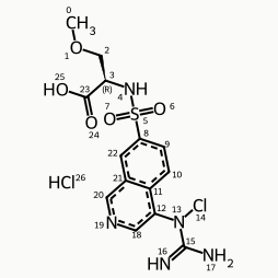 COC[C@@H](NS(=O)(=O)c1ccc2c(N(Cl)C(=N)N)cncc2c1)C(=O)O.Cl